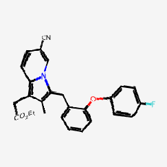 CCOC(=O)Cc1c(C)c(Cc2ccccc2Oc2ccc(F)cc2)n2cc(C#N)ccc12